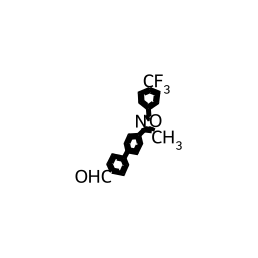 Cc1oc(-c2ccc(C(F)(F)F)cc2)nc1-c1ccc(-c2ccc(C=O)cc2)cc1